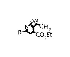 CCOC(=O)c1cc(Br)nc2onc(C)c12